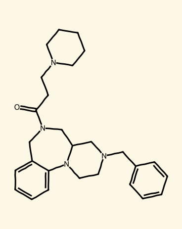 O=C(CCN1CCCCC1)N1Cc2ccccc2N2CCN(Cc3ccccc3)CC2C1